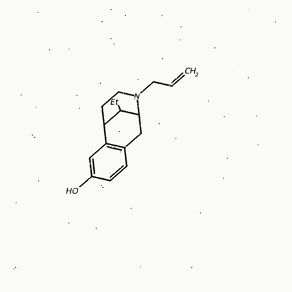 C=CCN1CCC2c3cc(O)ccc3CC1C2CC